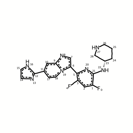 Fc1cc(F)c(-c2cnc3cc(-c4ncc[nH]4)ccn23)nc1N[C@H]1CCCNC1